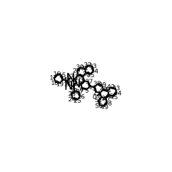 CC12C=C(c3cccc(-c4c(-c5nc(-c6ccccc6)nc(-c6ccccc6)n5)ccc5ccccc45)c3)C=CC1=c1ccccc1=C1C=CC=CC12